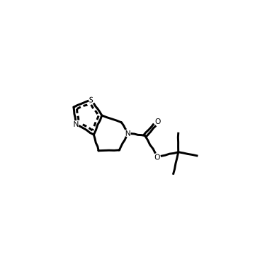 CC(C)(C)OC(=O)N1CCc2ncsc2C1